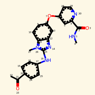 CNC(=O)c1cc(Oc2ccc3c(c2)nc(Nc2ccc(C(C)=O)cc2)n3C)ccn1